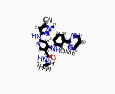 [2H]C([2H])([2H])NC(=O)c1cnc(Nc2cc(C#N)n(C)n2)cc1Nc1cccc(-c2ncccn2)c1OC